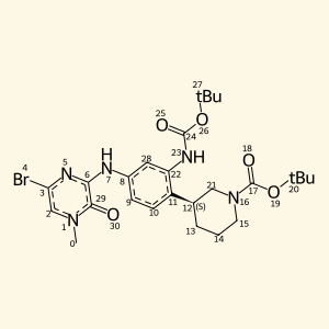 Cn1cc(Br)nc(Nc2ccc([C@@H]3CCCN(C(=O)OC(C)(C)C)C3)c(NC(=O)OC(C)(C)C)c2)c1=O